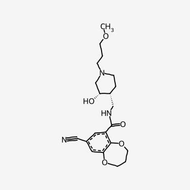 COCCCN1CC[C@H](CNC(=O)c2cc(C#N)cc3c2OCCCO3)[C@H](O)C1